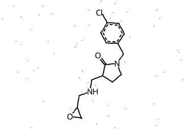 O=C1C(CNCC2CO2)CCN1Cc1ccc(Cl)cc1